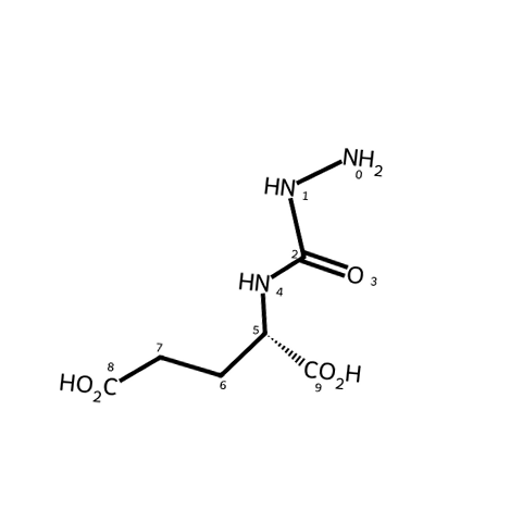 NNC(=O)N[C@@H](CCC(=O)O)C(=O)O